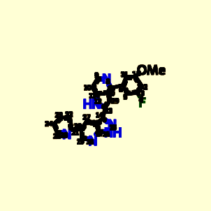 COc1cc(F)cc(-c2nccc3[nH]c(-c4n[nH]c5ncc(-c6ccccn6)cc45)cc23)c1